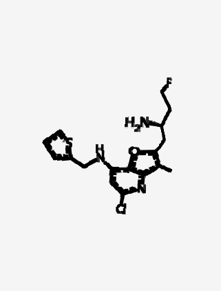 Cc1c(C[C@@H](N)CCF)oc2c(NCc3cccs3)cc(Cl)nc12